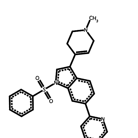 CN1CC=C(c2cn(S(=O)(=O)c3ccccc3)c3cc(-c4ccccn4)ccc23)CC1